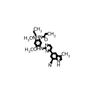 C=CC(=O)Nc1cc(Nc2nccc(-c3cc(C#N)c4[nH]cc(C)c4c3)n2)c(OC)cc1N(C)CCC